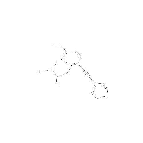 CCCCCCN(C)C(C)Cc1cc(OC)ccc1C#Cc1ccccc1